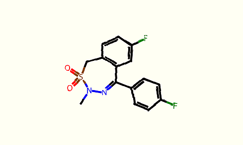 CN1N=C(c2ccc(F)cc2)c2cc(F)ccc2CS1(=O)=O